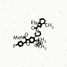 CCn1c(C(=O)N2CCC[C@@H](c3cc4c(C(=O)NC)c(-c5ccc(F)cc5)oc4cc3N(C)S(C)(=O)=O)C2)cc2c1C=CCC2C